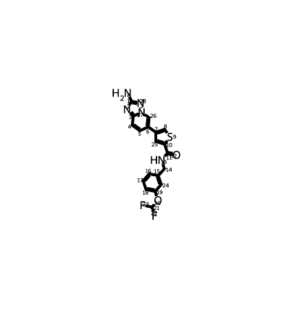 Nc1nc2ccc(-c3csc(C(=O)NCc4cccc(OC(F)F)c4)c3)cn2n1